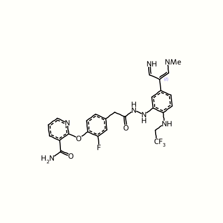 CN/C=C(\C=N)c1ccc(NCC(F)(F)F)c(NNC(=O)Cc2ccc(Oc3ncccc3C(N)=O)c(F)c2)c1